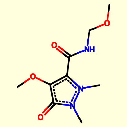 COCNC(=O)c1c(OC)c(=O)n(C)n1C